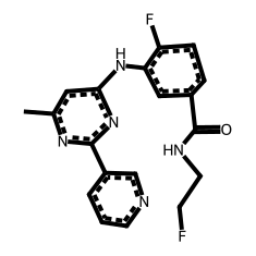 Cc1cc(Nc2cc(C(=O)NCCF)ccc2F)nc(-c2cccnc2)n1